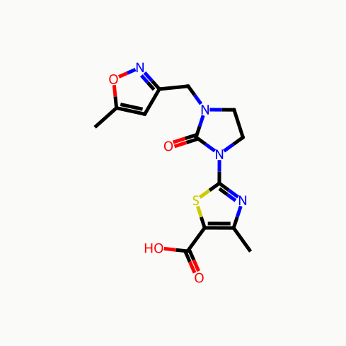 Cc1cc(CN2CCN(c3nc(C)c(C(=O)O)s3)C2=O)no1